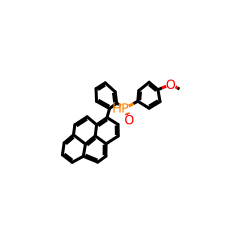 COc1ccc([PH](=O)c2ccccc2-c2ccc3ccc4cccc5ccc2c3c45)cc1